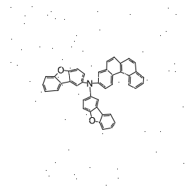 c1ccc2c(c1)ccc1ccc3cc(N(c4ccc5oc6ccccc6c5c4)c4ccc5oc6ccccc6c5c4)ccc3c12